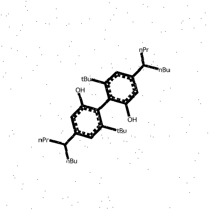 CCCCC(CCC)c1cc(O)c(-c2c(O)cc(C(CCC)CCCC)cc2C(C)(C)C)c(C(C)(C)C)c1